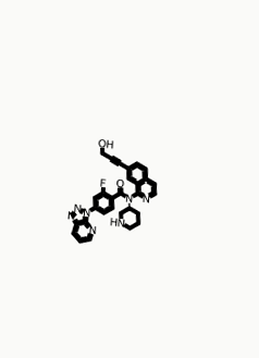 O=C(c1ccc(-n2nnc3cccnc32)cc1F)N(c1nccc2ccc(C#CCO)cc12)[C@@H]1CCCNC1